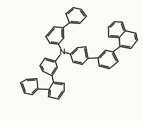 c1ccc(-c2cccc(N(c3ccc(-c4cccc(-c5cccc6ccccc56)c4)cc3)c3cccc(-c4ccccc4-c4ccccc4)c3)c2)cc1